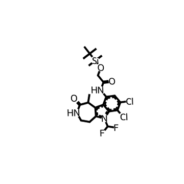 CC1C(=O)NCCc2c1c1c(NC(=O)CO[Si](C)(C)C(C)(C)C)cc(Cl)c(Cl)c1n2C(F)F